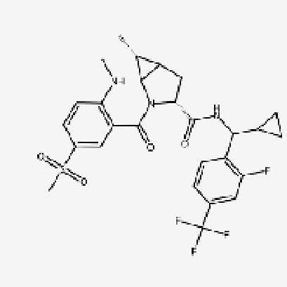 CNc1ccc(S(C)(=O)=O)cc1C(=O)N1C2C(C[C@@H]1C(=O)NC(c1ccc(C(F)(F)F)cc1F)C1CC1)[C@H]2C